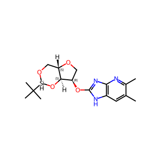 Cc1cc2[nH]c(O[C@@H]3CO[C@H]4CO[SiH](C(C)(C)C)O[C@@H]43)nc2nc1C